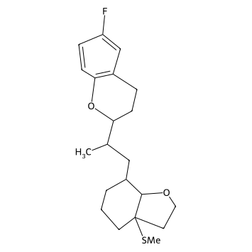 CSC12CCCC(CC(C)C3CCc4cc(F)ccc4O3)C1OCC2